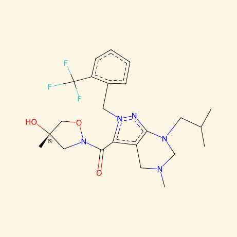 CC(C)CN1CN(C)Cc2c1nn(Cc1ccccc1C(F)(F)F)c2C(=O)N1C[C@](C)(O)CO1